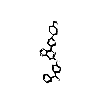 NC1CCN(c2ccc(-c3nc(Nc4ccc(C(=O)c5ccccc5)cc4)nc4[nH]cnc34)cn2)CC1